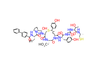 CC(C)C[C@H](NC(=O)c1ccc(-c2ccccc2)cc1)C(=O)N1CCC[C@H]1[C@H](O)N[C@H]1CSC(c2ccc(O)cc2)C[C@@H](C(=O)N[C@@H](Cc2ccc(O)cc2)C(=O)NCC(=O)N[C@H](C(=O)N[C@H](C)CS)C(C)O)NC(=O)[C@H](CC(=O)O)NC1=O